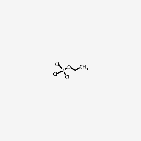 CC[O][Zr]([Cl])([Cl])[Cl]